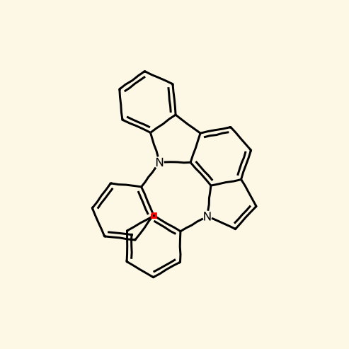 c1ccc(-n2ccc3ccc4c5ccccc5n(-c5ccccc5)c4c32)cc1